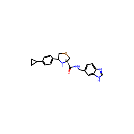 O=C(NCc1ccc2nc[nH]c2c1)[C@@H]1CSCC(c2ccc(C3CC3)cc2)N1